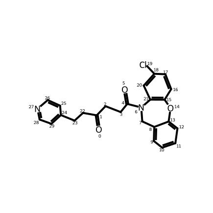 O=C(CCC(=O)N1Cc2ccccc2Oc2ccc(Cl)cc21)CCc1ccncc1